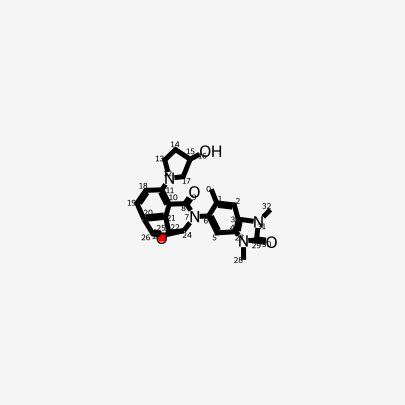 Cc1cc2c(cc1N1C(=O)c3c(N4CCC(O)C4)ccc4c3C(=O)C1C=C4)n(C)c(=O)n2C